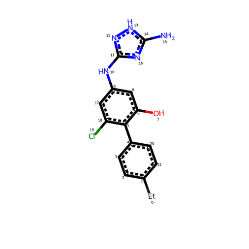 CCc1ccc(-c2c(O)cc(Nc3n[nH]c(N)n3)cc2Cl)cc1